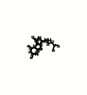 Cc1cc(C)c2c(n1)sc1c(NCCC(C)C)nn(C)c12